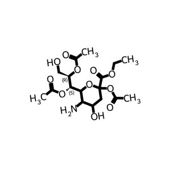 CCOC(=O)C1(OC(C)=O)CC(O)C(N)C([C@H](OC(C)=O)[C@@H](CO)OC(C)=O)O1